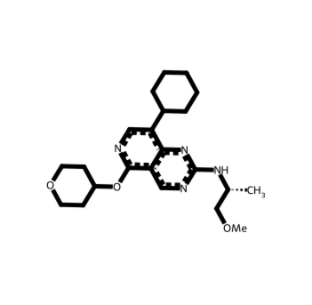 COC[C@@H](C)Nc1ncc2c(OC3CCOCC3)ncc(C3CCCCC3)c2n1